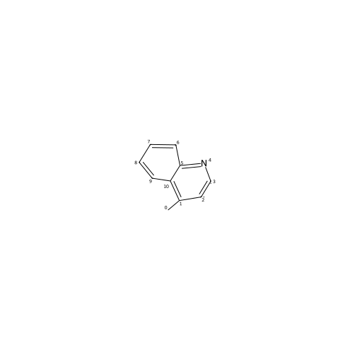 Cc1[c][c]nc2ccccc12